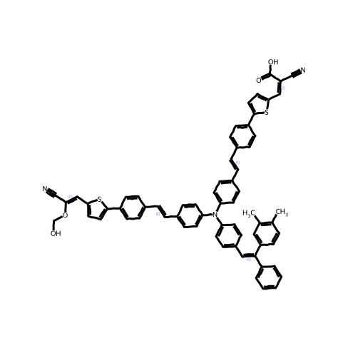 Cc1ccc(/C(=C\c2ccc(N(c3ccc(/C=C/c4ccc(-c5ccc(/C=C(/C#N)OCO)s5)cc4)cc3)c3ccc(/C=C/c4ccc(-c5ccc(/C=C(/C#N)C(=O)O)s5)cc4)cc3)cc2)c2ccccc2)cc1C